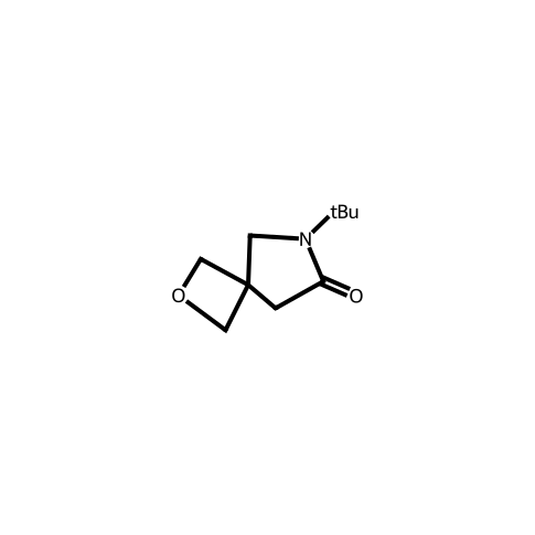 CC(C)(C)N1CC2(COC2)CC1=O